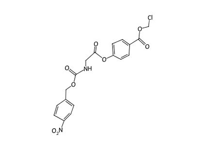 O=C(CNC(=O)OCc1ccc([N+](=O)[O-])cc1)Oc1ccc(C(=O)OCCl)cc1